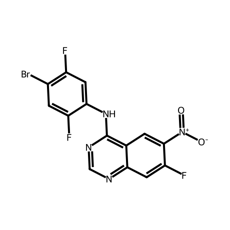 O=[N+]([O-])c1cc2c(Nc3cc(F)c(Br)cc3F)ncnc2cc1F